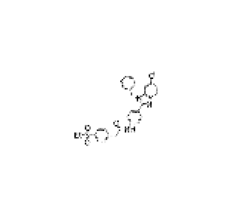 CCS(=O)(=O)c1ccc(CC(=O)Nc2ccc(-c3nc4ccc(Cl)cc4n3Cc3ccccc3)cc2)cc1